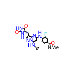 CNC(=O)c1ccc(Nc2cc(NC3CC3)n3ncc(/C=C4\NC(=O)NC4=O)c3n2)c(F)c1